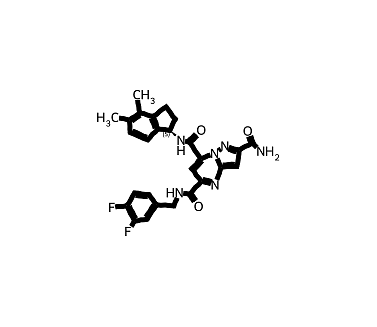 Cc1ccc2c(c1C)CC[C@@H]2NC(=O)c1cc(C(=O)NCc2ccc(F)c(F)c2)nc2cc(C(N)=O)nn12